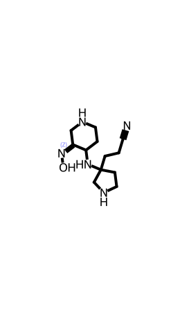 N#CCCC1(NC2CCNC/C2=N/O)CCNC1